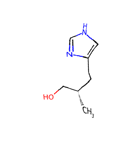 C[C@H](CO)Cc1c[nH]cn1